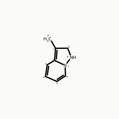 CC1=C2C=CC=CN2NC1